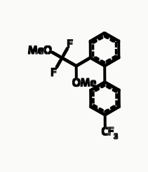 COC(c1ccccc1-c1ccc(C(F)(F)F)cc1)C(F)(F)OC